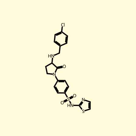 O=C1C(NCc2ccc(Cl)cc2)CCN1c1ccc(S(=O)(=O)Nc2nccs2)cc1